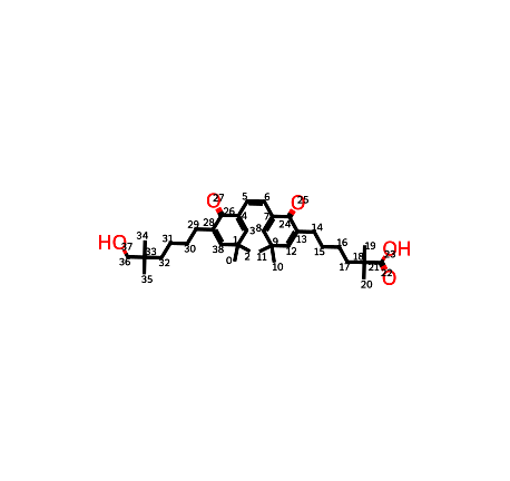 CC1(C)C=C(/C=C\C2=CC(C)(C)C=C(CCCCC(C)(C)C(=O)O)C2=O)C(=O)C(CCCCC(C)(C)CO)=C1